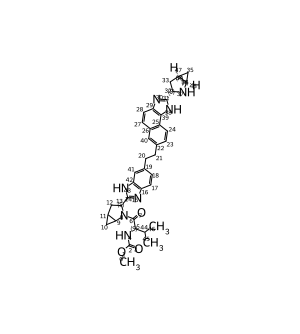 COC(=O)N[C@H](C(=O)N1C2CC2C[C@H]1c1nc2ccc(CCc3ccc4c(ccc5nc([C@@H]6C[C@H]7C[C@H]7N6)[nH]c54)c3)cc2[nH]1)C(C)C